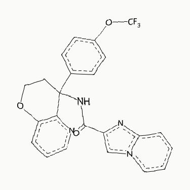 O=C(NC1(c2ccc(OC(F)(F)F)cc2)CCOc2cccnc21)c1cn2ccccc2n1